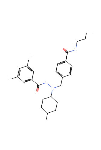 CC(C)(C)C1CCC(N(Cc2ccc(C(=O)NCCC(=O)O)cc2)NC(=O)c2cc(C(F)(F)F)cc(C(F)(F)F)c2)CC1